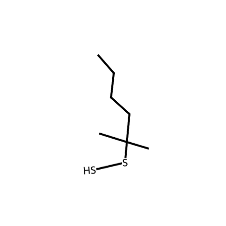 CCCCC(C)(C)SS